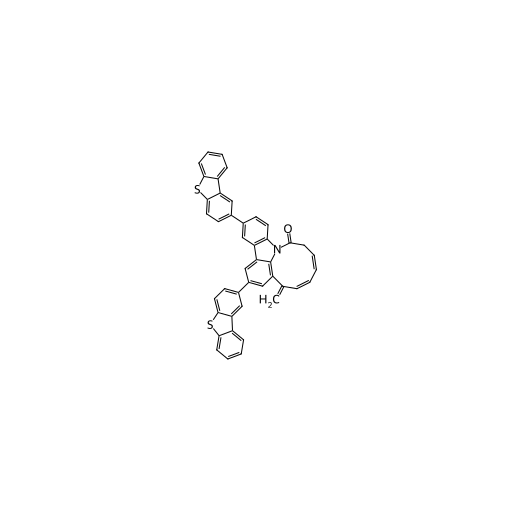 C=C1/C=C\C=C/CC(=O)n2c3ccc(-c4ccc5sc6ccccc6c5c4)cc3c3cc(-c4ccc5sc6ccccc6c5c4)cc1c32